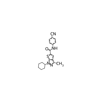 Cc1nn(C2CCCCC2)c2sc(C(=O)Nc3ccc(C#N)cc3)cc12